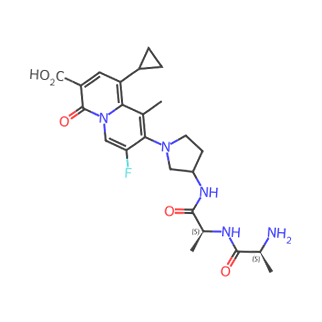 Cc1c(N2CCC(NC(=O)[C@H](C)NC(=O)[C@H](C)N)C2)c(F)cn2c(=O)c(C(=O)O)cc(C3CC3)c12